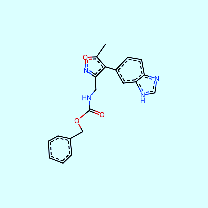 Cc1onc(CNC(=O)OCc2ccccc2)c1-c1ccc2nc[nH]c2c1